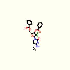 C[Si](C)(C)Nc1ccn(C2O[C@H](COC(=O)c3ccccc3)C(OC(=O)c3ccccc3)C2(F)F)c(=O)n1